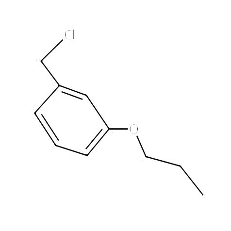 CCCOc1cccc(CCl)c1